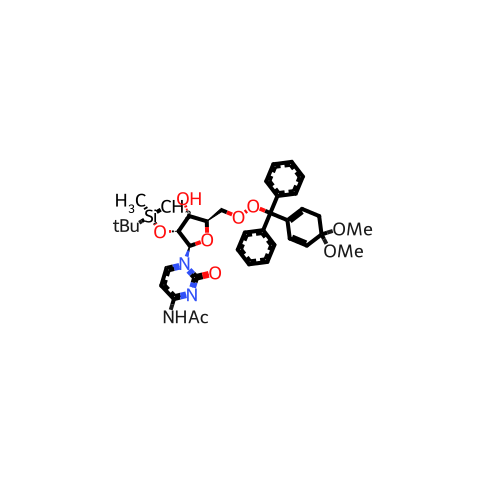 COC1(OC)C=CC(C(OOC[C@H]2O[C@@H](n3ccc(NC(C)=O)nc3=O)[C@H](O[Si](C)(C)C(C)(C)C)[C@@H]2O)(c2ccccc2)c2ccccc2)=CC1